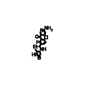 CC[C@@H](N[C@@H]1CC(=O)NC1C)c1ccc(Cl)c(C(=O)c2ccc(N)nc2)c1F